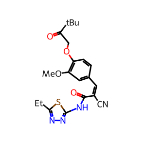 CCc1nnc(NC(=O)C(C#N)=Cc2ccc(OCC(=O)C(C)(C)C)c(OC)c2)s1